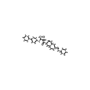 O=C[C@H](Cc1ccc(-c2ccccc2)cc1)NC(=O)c1cc2ccc(OCc3ccccc3)cc2cn1